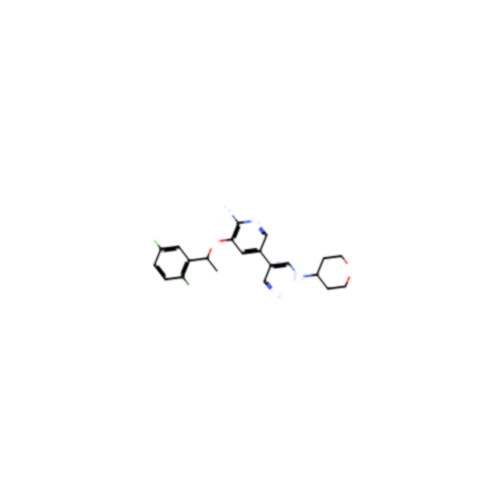 CC(Oc1cc(/C(C=N)=C/NC2CCOCC2)cnc1N)c1cc(F)ccc1Cl